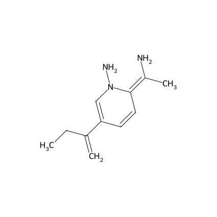 C=C(CC)C1=CN(N)/C(=C(/C)N)C=C1